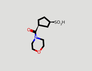 O=C([C@H]1CC[C@@H](S(=O)(=O)O)C1)N1CCOCC1